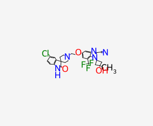 CC1(O)CC(n2c(C#N)nc3cc(OCCN4CCC5(CC4)C(=O)Nc4ccc(Cl)cc45)cc(C(F)(F)F)c32)C1